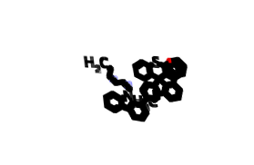 C=C/C=C\C=C/n1c2ccccc2c2cccc(-c3ccc(C4(c5c(SC)cccc5-c5ccccc5)C5=C(C=CCC5)Sc5ccccc54)cc3)c21